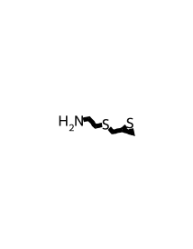 NCCSCC1CS1